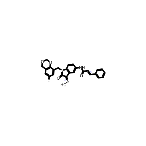 O=C(/C=C/c1ccccc1)Nc1ccc2c(c1)/C(=N/O)C(=O)N2Cc1cc(F)cc2c1OCOC2